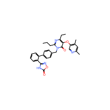 CCCc1nc(CC)c(Oc2cnc(C)cc2C)c(=O)n1Cc1ccc(-c2ccccc2-c2noc(=O)[nH]2)cc1